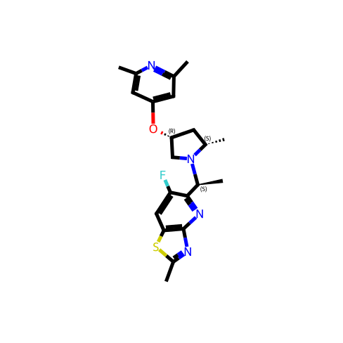 Cc1cc(O[C@@H]2C[C@H](C)N([C@@H](C)c3nc4nc(C)sc4cc3F)C2)cc(C)n1